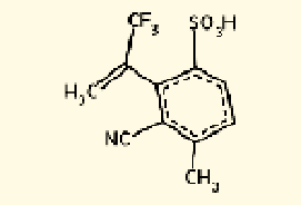 C=C(c1c(S(=O)(=O)O)ccc(C)c1C#N)C(F)(F)F